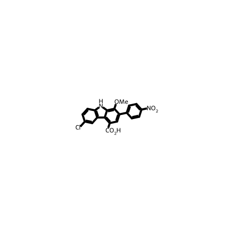 COc1c(-c2ccc([N+](=O)[O-])cc2)cc(C(=O)O)c2c1[nH]c1ccc(Cl)cc12